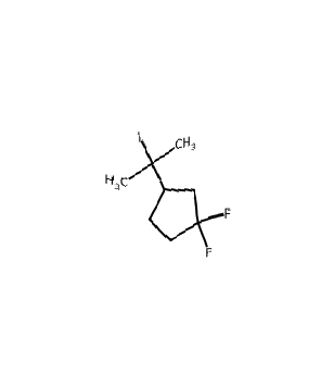 CC(C)(I)C1CCC(F)(F)C1